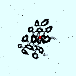 CC(C)(C)c1ccc2oc3c(c2c1)N(c1ccccc1)c1cc(N(c2ccccc2)c2ccccc2)cc2c1B3c1cc3c(cc1N2c1ccccc1)N(c1ccccc1)c1cc(N(c2ccccc2)c2ccccc2)cc2c1B3c1c(c3cc(C(C)(C)C)ccc3n1-c1ccccc1)N2c1ccccc1